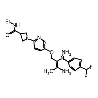 CCNC(=O)C1CN(c2ccc(OC/C(=C(\C)N)N(N)c3ccc(C(F)F)cc3)nn2)C1